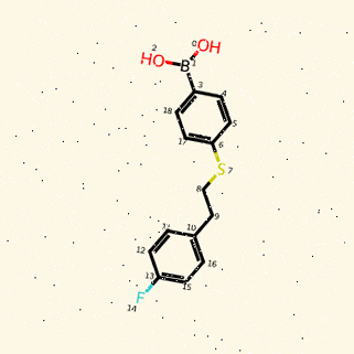 OB(O)c1ccc(SCCc2ccc(F)cc2)cc1